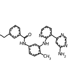 Cc1ccc(NC(=O)c2cccc(CF)c2)cc1Nc1ncccc1-c1cc(N)ncn1